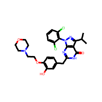 CC(C)c1nn(-c2c(Cl)cccc2Cl)c2nc(Cc3ccc(OCCN4CCOCC4)c(O)c3)[nH]c(=O)c12